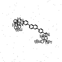 CCCN(Cc1ncc(-c2ccc(-c3ccc4cc(-c5ccc6nc([C@@H]7[C@H]8CC[C@H](C8)N7C(=O)OC(C)(C)C)[nH]c6c5)ccc4c3)cc2)[nH]1)C(=O)OC(C)(C)C